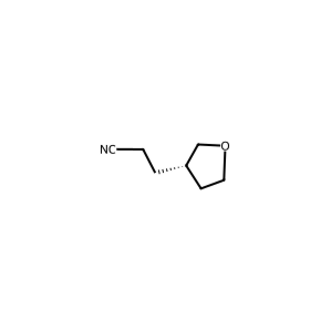 N#CCC[C@H]1CCOC1